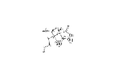 CCCCC(O)(C(=O)O)C(O)(C(=O)O)N(O)O